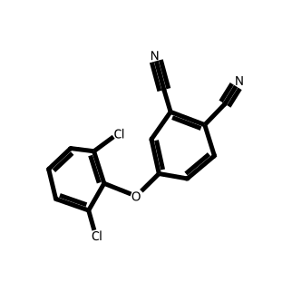 N#Cc1ccc(Oc2c(Cl)cccc2Cl)cc1C#N